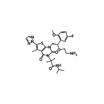 COc1ccc(F)cc1[C@H](Cn1c(=O)n(C(C)(C)C(=O)NC(C)C)c(=O)c2c(C)c(-n3nccn3)sc21)OCCN